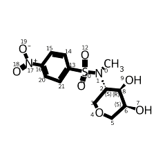 CN([C@H]1COC[C@H](O)[C@@H]1O)S(=O)(=O)c1ccc([N+](=O)[O-])cc1